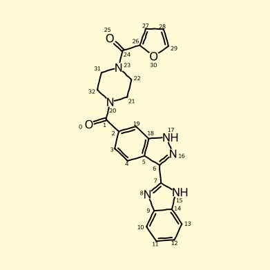 O=C(c1ccc2c(-c3nc4ccccc4[nH]3)n[nH]c2c1)N1CCN(C(=O)c2ccco2)CC1